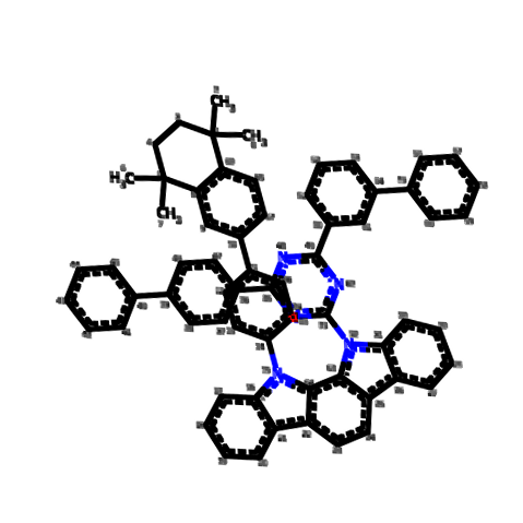 CC1(C)CCC(C)(C)c2cc(-c3ccc(-n4c5ccccc5c5ccc6c7ccccc7n(-c7nc(-c8ccc(-c9ccccc9)cc8)nc(-c8cccc(-c9ccccc9)c8)n7)c6c54)cc3)ccc21